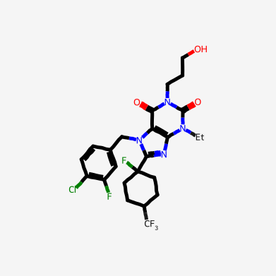 CCn1c(=O)n(CCCO)c(=O)c2c1nc(C1(F)CCC(C(F)(F)F)CC1)n2Cc1ccc(Cl)c(F)c1